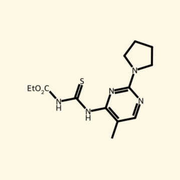 CCOC(=O)NC(=S)Nc1nc(N2CCCC2)ncc1C